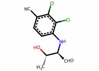 C[C@H](O)[C@H](C=O)Nc1ccc(C#N)c(Cl)c1Cl